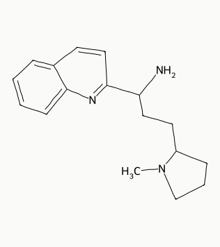 CN1CCCC1CCC(N)c1ccc2ccccc2n1